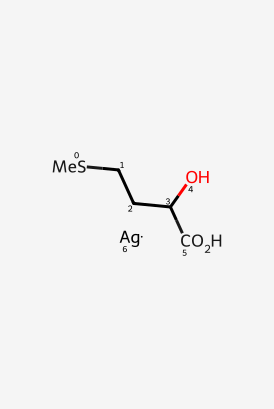 CSCCC(O)C(=O)O.[Ag]